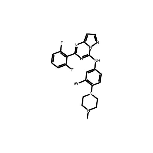 CC(C)c1cc(Nc2nc(-c3c(F)cccc3F)nc3ccnn23)ccc1N1CCN(C)CC1